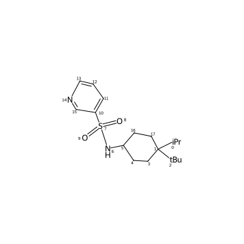 CC(C)C1(C(C)(C)C)CCC(NS(=O)(=O)c2cccnc2)CC1